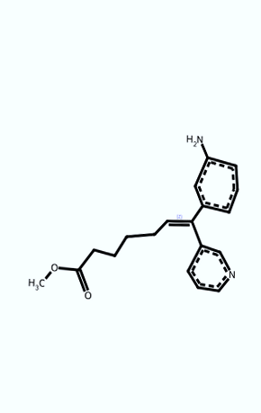 COC(=O)CCCC/C=C(\c1cccnc1)c1cccc(N)c1